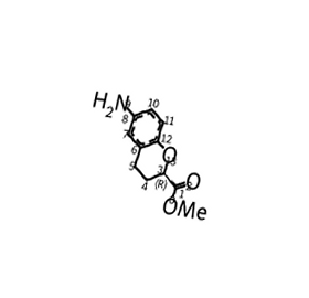 COC(=O)[C@H]1CCc2cc(N)ccc2O1